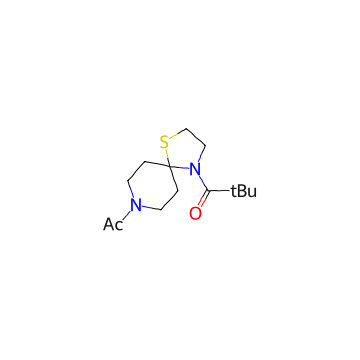 CC(=O)N1CCC2(CC1)SCCN2C(=O)C(C)(C)C